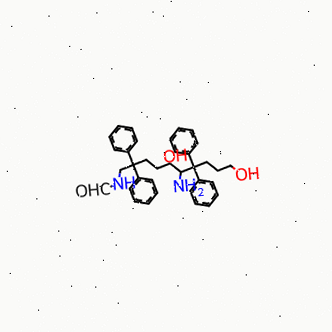 NC(C(O)CCC(CNC=O)(c1ccccc1)c1ccccc1)C(CCCO)(c1ccccc1)c1ccccc1